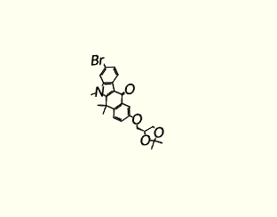 Cn1c2c(c3ccc(Br)cc31)C(=O)c1cc(OC[C@H]3COC(C)(C)O3)ccc1C2(C)C